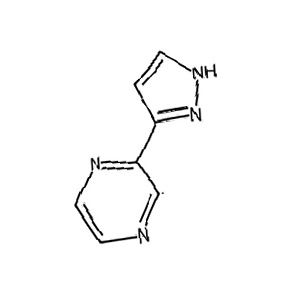 [c]1nccnc1-c1cc[nH]n1